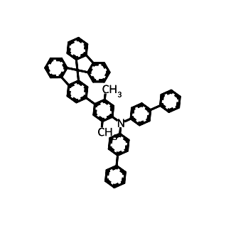 Cc1cc(N(c2ccc(-c3ccccc3)cc2)c2ccc(-c3ccccc3)cc2)c(C)cc1-c1ccc2c(c1)C1(c3ccccc3-c3ccccc31)c1ccccc1-2